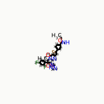 CCOC(=N)c1ccc(-c2cc3ncn(C(C)C(O)(Cn4cncn4)c4ccc(F)cc4F)c(=O)c3s2)cc1